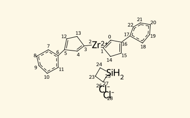 C1=[C]([Zr+2][C]2=CC(c3ccccc3)=CC2)CC=C1c1ccccc1.C1C[SiH2]C1.[Cl-].[Cl-]